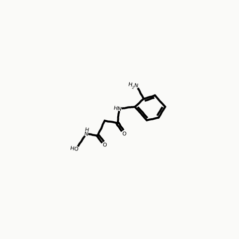 Nc1ccccc1NC(=O)CC(=O)NO